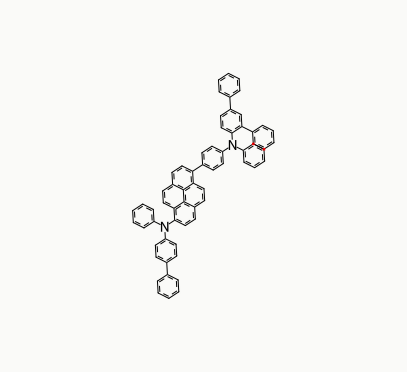 c1ccc(-c2ccc(N(c3ccccc3)c3ccc4ccc5c(-c6ccc(N(c7ccccc7)c7ccc(-c8ccccc8)cc7-c7ccccc7)cc6)ccc6ccc3c4c65)cc2)cc1